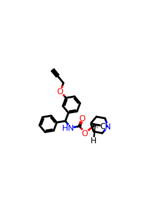 C#CCOc1cccc(C(NC(=O)O[C@H]2CN3CCC2CC3)c2ccccc2)c1